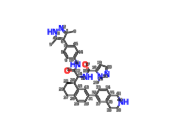 Cc1n[nH]c(C)c1-c1ccc(NC(=O)[C@@H](NC(=O)c2ccnn2C)[C@@H]2CCCc3ccc(-c4ccc5c(c4)CCNC5)cc32)cc1